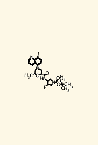 C[C@@H]1CN(c2ccc(I)c3ncccc23)C[C@H](C(=O)NC2CN(C(=O)OC(C)(C)C)CC2F)O1